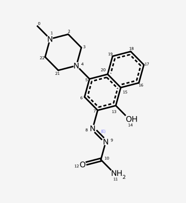 CN1CCN(c2cc(/N=N/C(N)=O)c(O)c3ccccc23)CC1